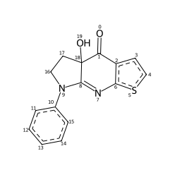 O=C1c2ccsc2N=C2N(c3ccccc3)CCC12O